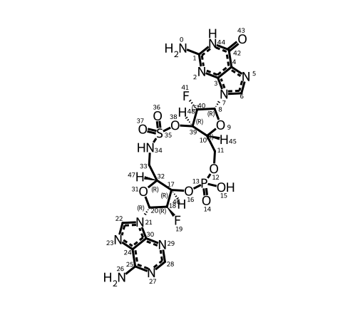 Nc1nc2c(ncn2[C@@H]2O[C@@H]3COP(=O)(O)O[C@H]4[C@@H](F)[C@H](n5cnc6c(N)ncnc65)O[C@@H]4CNS(=O)(=O)O[C@H]3[C@@H]2F)c(=O)[nH]1